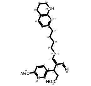 COc1ccc(C(CC(=O)O)/C(C=N)=C/NCCCCc2ccc3c(n2)NCCC3)cn1